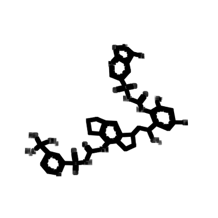 CCc1noc2ncc(S(=O)(=O)NC(=O)Nc3c(C(C)C)cc(Cl)cc3C(C)CC3CCc4c3cc3c(c4NC(=O)NS(=O)(=O)c4cc(C(C)(C)O)ccn4)CCC3)cc12